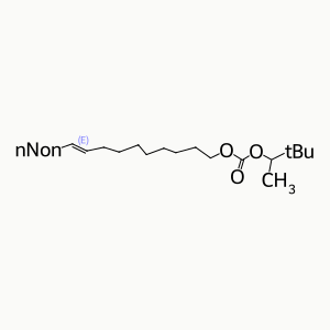 CCCCCCCCC/C=C/CCCCCCCCOC(=O)OC(C)C(C)(C)C